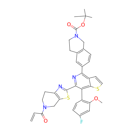 C=CC(=O)N1CCc2nc(-c3nc(-c4ccc5c(c4)CCN(C(=O)OC(C)(C)C)C5)c4ccsc4c3-c3ccc(F)cc3OC)sc2C1